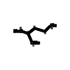 COC(CCC(C)(C)C)OC